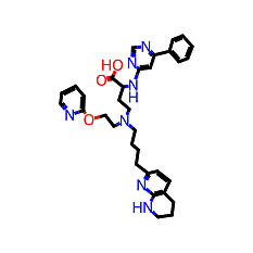 O=C(O)C(CCN(CCCCc1ccc2c(n1)NCCC2)CCOc1ccccn1)Nc1cc(-c2ccccc2)ncn1